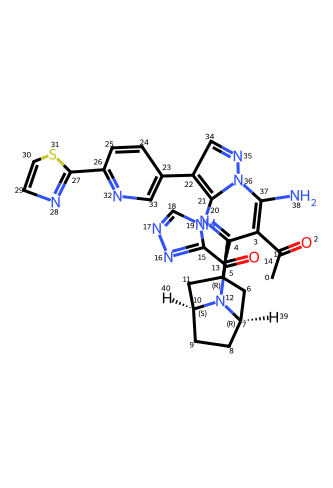 CC(=O)c1c([C@H]2C[C@H]3CC[C@@H](C2)N3C(=O)c2nnc[nH]2)nc2c(-c3ccc(-c4nccs4)nc3)cnn2c1N